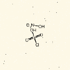 O=S(=O)(O)Cl.O=[N+]([O-])O